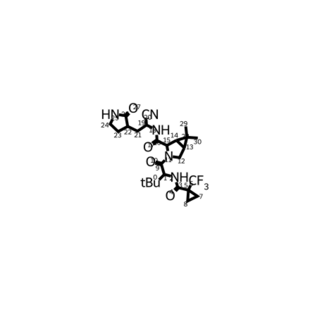 CC(C)(C)C(NC(=O)C1(C(F)(F)F)CC1)C(=O)N1CC2C(C1C(=O)NC(C#N)CC1CCNC1=O)C2(C)C